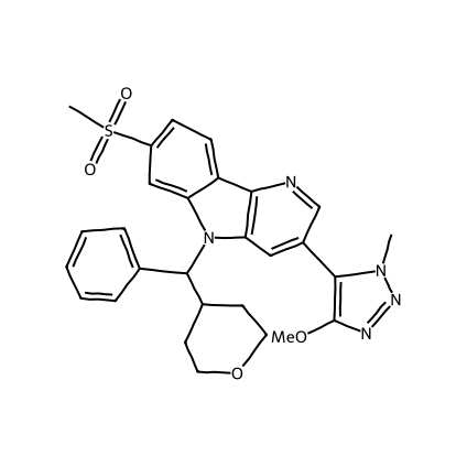 COc1nnn(C)c1-c1cnc2c3ccc(S(C)(=O)=O)cc3n(C(c3ccccc3)C3CCOCC3)c2c1